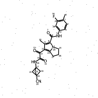 Cc1ccc(NC(=O)c2c(C)c(C(=O)C(=O)NC34CC(C#N)(C3)C4)c3n2CCC3)cc1F